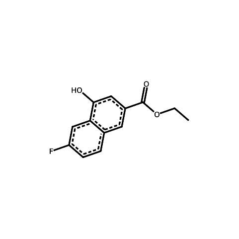 CCOC(=O)c1cc(O)c2cc(F)ccc2c1